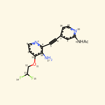 CC(=O)Nc1cc(C#Cc2nccc(OCC(F)F)c2N)ccn1